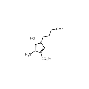 CCOC(=O)c1cn(CCCOC)cc1N.Cl